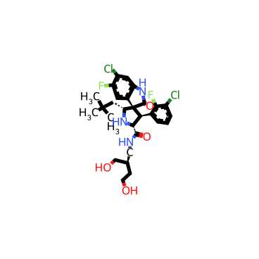 CC(C)(C)C[C@H]1N[C@@H](C(=O)NC[C@H](CO)CCO)[C@H](c2cccc(Cl)c2F)[C@@]12C(=O)Nc1cc(Cl)c(F)cc12